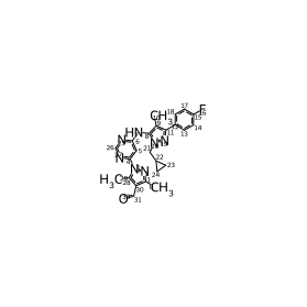 Cc1nn(-c2cc(Nc3c(C)c(-c4ccc(F)cc4)nn3CC3CC3)ncn2)c(C)c1C=O